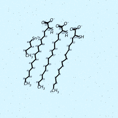 CCCCCCCCCCCCCCC(S)C(=O)[O-].CCCCCCCCCCCCCCC(S)C(=O)[O-].CCCCCCCCCCCCCCC(S)C(=O)[O-].CCC[CH2][Sn+3]